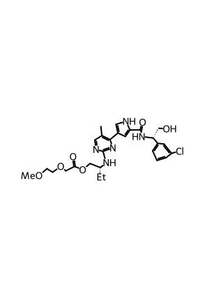 CC[C@H](COC(=O)COCCOC)Nc1ncc(C)c(-c2c[nH]c(C(=O)N[C@H](CO)c3cccc(Cl)c3)c2)n1